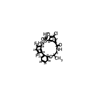 CC1CNC(=O)c2cc(Cl)c(O)c(c2)S(=O)(=O)Nc2cc(c(F)cc2F)-c2ccccc2O1